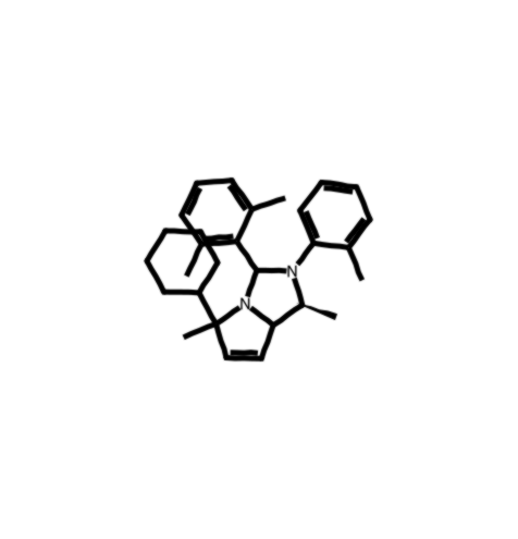 Cc1ccccc1N1C(c2c(C)cccc2C)N2C(C=CC2(C)C2CCCCC2)[C@@H]1C